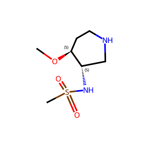 CO[C@H]1CCNC[C@@H]1NS(C)(=O)=O